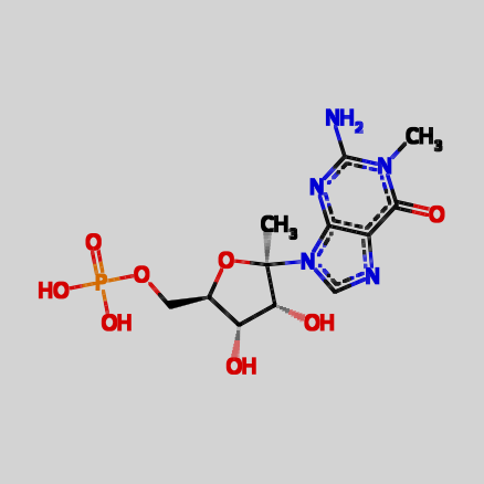 Cn1c(N)nc2c(ncn2[C@]2(C)O[C@H](COP(=O)(O)O)[C@@H](O)[C@H]2O)c1=O